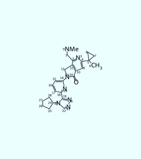 CNCc1nc(C2(C)CC2)cc2c1CN(c1cccc(-c3nncn3C3CCCC3)n1)C2=O